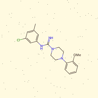 COc1ccccc1N1CCN(C(=N)Nc2cc(C)cc(Cl)c2)CC1